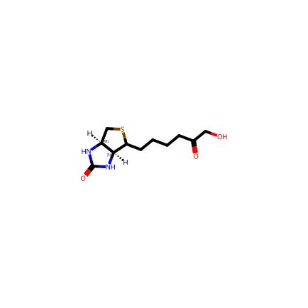 O=C(CO)CCCCC1SC[C@@H]2NC(=O)N[C@H]12